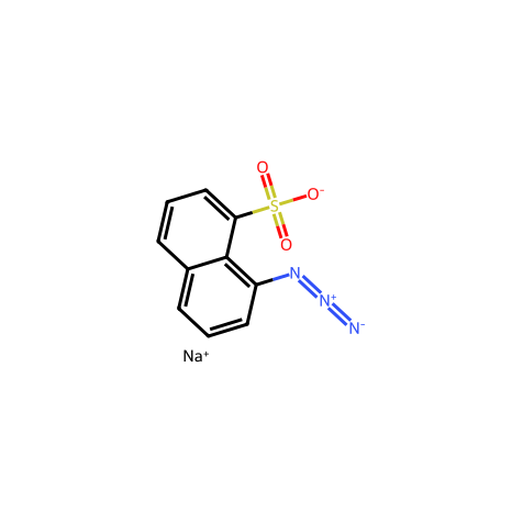 [N-]=[N+]=Nc1cccc2cccc(S(=O)(=O)[O-])c12.[Na+]